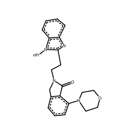 CCCn1c(CCN2Cc3cccc(N4CCOCC4)c3C2=O)nc2ccccc21